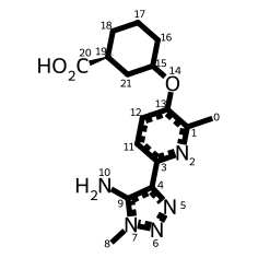 Cc1nc(-c2nnn(C)c2N)ccc1OC1CCC[C@H](C(=O)O)C1